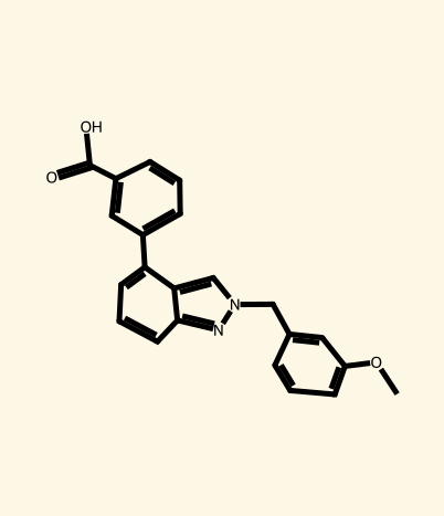 COc1cccc(Cn2cc3c(-c4cccc(C(=O)O)c4)cccc3n2)c1